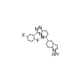 CCCn1ccc2cc(-c3ccc4nnc(-c5cc(F)ccc5F)n4n3)ccc21